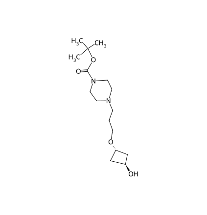 CC(C)(C)OC(=O)N1CCN(CCCO[C@H]2C[C@H](O)C2)CC1